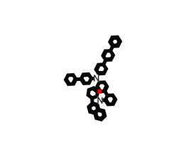 C1=CCCC(C2=CCC(N(C3=CCC(C4=CCC(c5ccccc5)C=C4)C=C3)C3C=CC(C4CC=CC=C4N4c5c(ccc6ccccc56)C5CCC=CC54)=CC3)C=C2)=C1